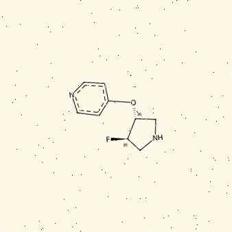 F[C@@H]1CNC[C@H]1Oc1ccncc1